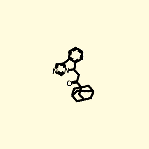 O=C(CC1c2ccccc2-c2cncn21)C12CC3CC(CC(C3)C1)C2